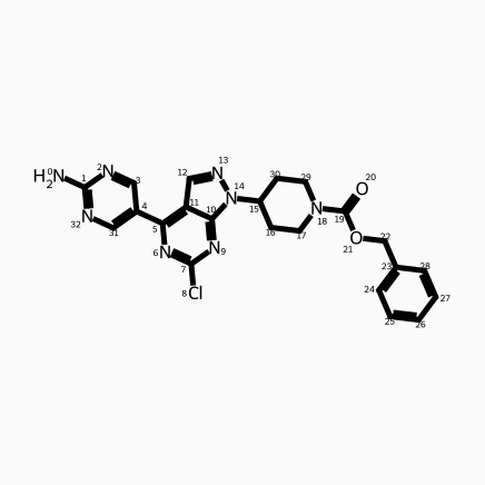 Nc1ncc(-c2nc(Cl)nc3c2cnn3C2CCN(C(=O)OCc3ccccc3)CC2)cn1